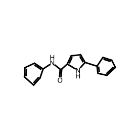 O=C(Nc1ccccc1)c1ccc(-c2ccccc2)[nH]1